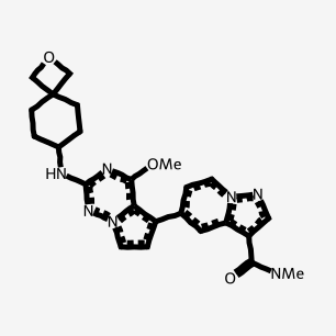 CNC(=O)c1cnn2ccc(-c3ccn4nc(NC5CCC6(CC5)COC6)nc(OC)c34)cc12